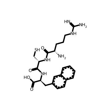 N=C(N)NCCC[C@H](N)C(=O)N[C@@H](CS)C(=O)N[C@@H](Cc1ccc2ccccc2c1)C(=O)O